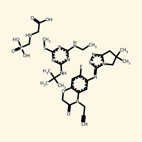 C#CCN1C(=O)COc2cc(F)c(/N=c3\snc4n3CC(C)(C)C4)cc21.CCNc1nc(NC(C)(C)C)nc(SC)n1.O=C(O)CNCP(=O)(O)O